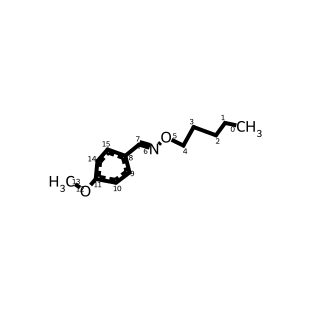 CCCCCO/N=[C]/c1ccc(OC)cc1